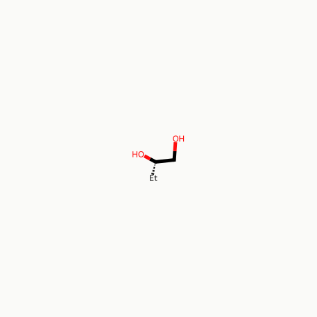 CC[C@H](O)CO